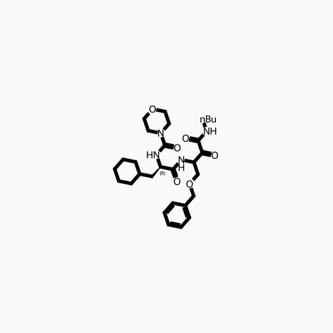 CCCCNC(=O)C(=O)C(COCc1ccccc1)NC(=O)[C@@H](CC1CCCCC1)NC(=O)N1CCOCC1